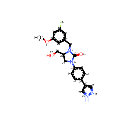 COc1cc(F)cc(CN2C(=O)N(c3ccc(-c4cn[nH]c4)cc3)CC2CO)c1